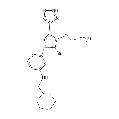 CCOC(=O)COc1c(-c2nn[nH]n2)sc(-c2cccc(NCC3CCCCC3)c2)c1Br